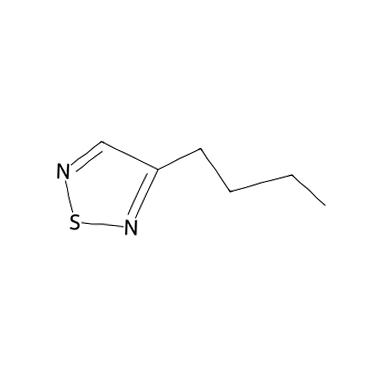 CCCCc1cnsn1